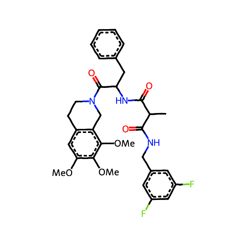 COc1cc2c(c(OC)c1OC)CN(C(=O)C(Cc1ccccc1)NC(=O)C(C)C(=O)NCc1cc(F)cc(F)c1)CC2